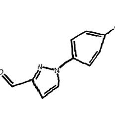 O=Cc1ccn(-c2ccc(Cl)cc2)n1